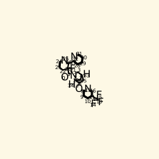 O=C(N1C[C@H]2C[C@@H](Oc3ccc(C(F)(F)F)cn3)[C@@H]1C2)C1(F)CC=CN=C1c1ccccn1